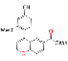 COC(=O)c1ccc2c(c1)C(c1ccc(C#N)cc1OC)=CCO2